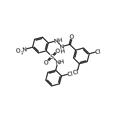 O=C(NNc1ccc([N+](=O)[O-])cc1S(=O)(=O)Nc1ccccc1Cl)c1cc(Cl)cc(Cl)c1